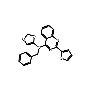 C1=C(N(Cc2ccccc2)c2nc(-c3cccs3)nc3ccccc23)OCO1